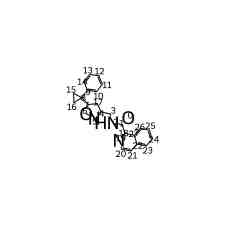 O=C(NCC1=NOC(C2(c3ccccc3)CC2)C1)c1nccc2ccccc12